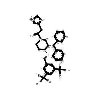 O=C(Cc1c[nH]cn1)N1CC[C@@H](OCc2cc(C(F)(F)F)cc(C(F)(F)F)c2)[C@@H](C(c2ccccc2)c2ccccc2)C1